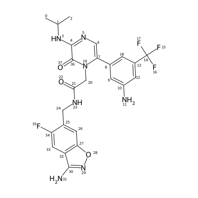 CC(C)Nc1ncc(-c2cc(N)cc(C(F)(F)F)c2)n(CC(=O)NCc2cc3onc(N)c3cc2F)c1=O